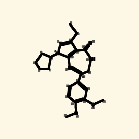 CCc1nn(C2CCCC2)c2c1C(=O)NCC(c1ccc(OC)c(OC)c1)=N2